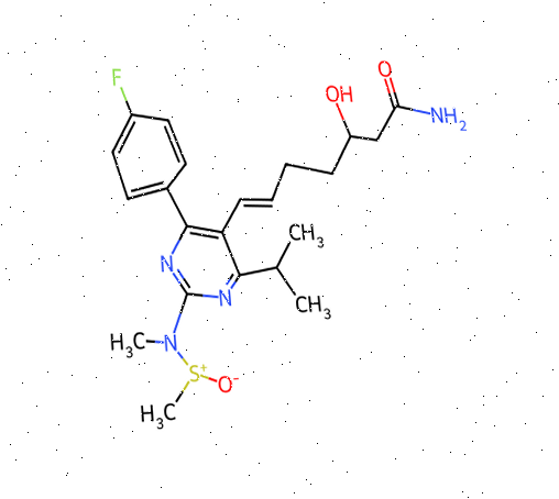 CC(C)c1nc(N(C)[S+](C)[O-])nc(-c2ccc(F)cc2)c1/C=C/CCC(O)CC(N)=O